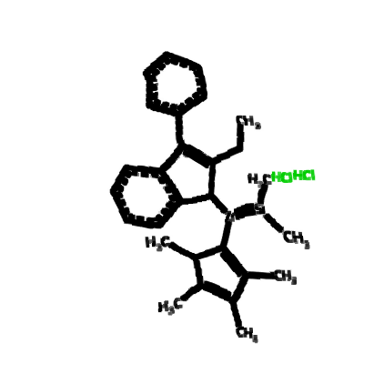 CCC1=C(c2ccccc2)c2ccccc2[CH]1[Zr]([C]1=C(C)C(C)=C(C)C1C)=[Si](C)C.Cl.Cl